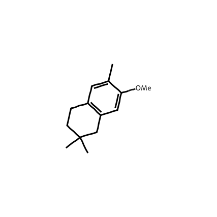 COc1cc2c(cc1C)CCC(C)(C)C2